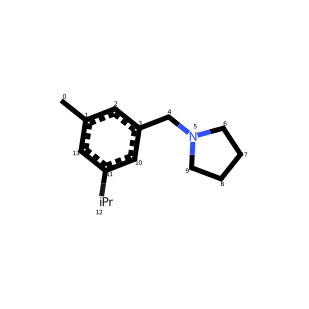 Cc1cc(CN2CCCC2)cc(C(C)C)c1